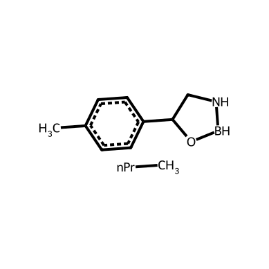 CCCC.Cc1ccc(C2CNBO2)cc1